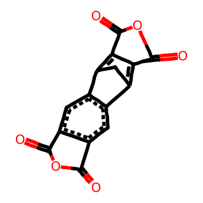 O=C1OC(=O)C2=C3CC(=C12)c1cc2c(cc13)C(=O)OC2=O